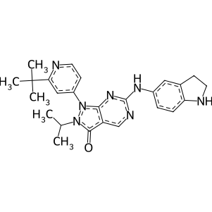 CC(C)n1c(=O)c2cnc(Nc3ccc4c(c3)CCN4)nc2n1-c1ccnc(C(C)(C)C)c1